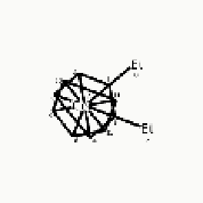 CC[C]12[CH]3[CH]4[CH]5[C]1(CC)[Co]43521678[CH]2[CH]1[CH]6[CH]7[CH]28